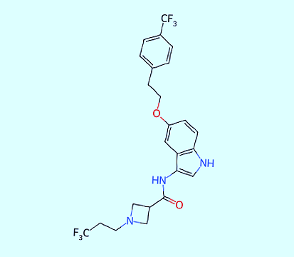 O=C(Nc1c[nH]c2ccc(OCCc3ccc(C(F)(F)F)cc3)cc12)C1CN(CCC(F)(F)F)C1